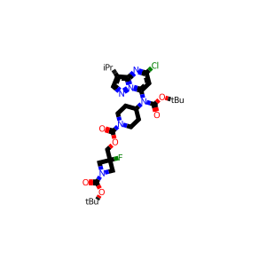 CC(C)c1cnn2c(N(C(=O)OC(C)(C)C)C3CCN(C(=O)OCC4(F)CN(C(=O)OC(C)(C)C)C4)CC3)cc(Cl)nc12